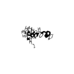 CC(C)N1NC(C(N)=O)(c2cncc(NC(=O)Cc3ccc(Cl)cc3)c2)C(C(N)=O)=C1NC1CC1